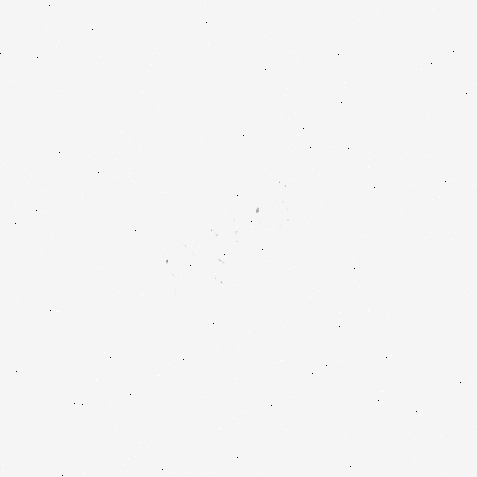 CN(C)C[C@H](NS(=O)(=O)c1ccc(OC(F)(F)F)c([N+](=O)[O-])c1)c1ccc(Cl)c(Cl)c1